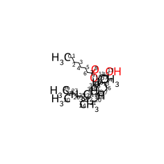 CCCCCCCC(=O)OC1C[C@H](O)CC2=CC[C@H]3[C@@H]4CC[C@H]([C@H](C)CCCC(C)C)[C@@]4(C)CC[C@@H]3[C@]21C